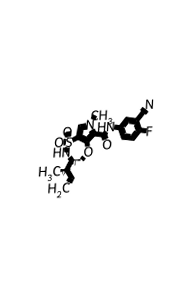 C=C[C@@H](C)[C@H]1COc2c(cn(C)c2C(=O)Nc2ccc(F)c(C#N)c2)S(=O)(=O)N1